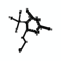 O=c1[nH]c(CCCl)c(C(F)(F)F)c(=O)[nH]1